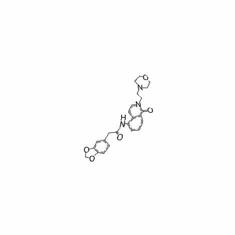 O=C(Cc1ccc2c(c1)OCO2)Nc1cccc2c(=O)n(CCN3CCOCC3)ccc12